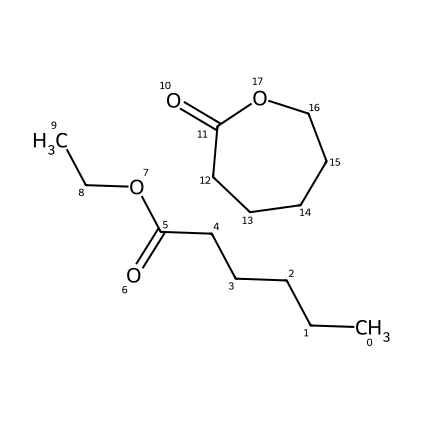 CCCCCC(=O)OCC.O=C1CCCCCO1